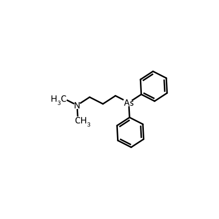 CN(C)CCC[As](c1ccccc1)c1ccccc1